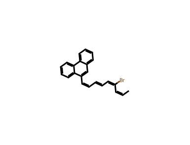 C\C=C/C(Br)=C\C=C\C=C/c1cc2ccccc2c2ccccc12